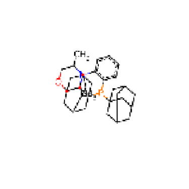 CC1COCC(C)N1c1ccccc1P(C12CC3CC(CC(C3)C1)C2)C12CC3CC(CC(C3)C1)C2